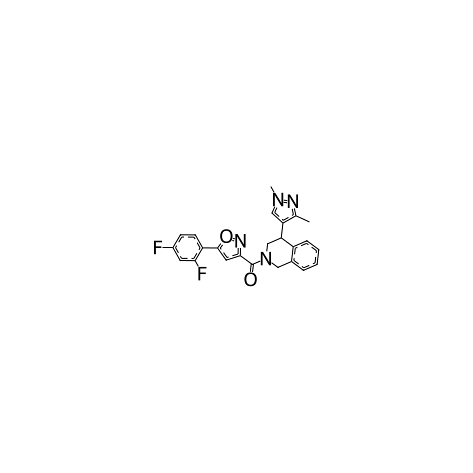 Cc1nn(C)cc1C1CN(C(=O)c2cc(-c3ccc(F)cc3F)on2)Cc2ccccc21